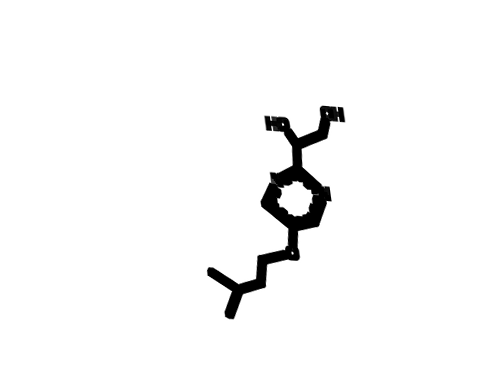 CC(C)CCOc1cnc(C(O)CO)nc1